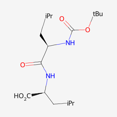 CC(C)C[C@H](NC(=O)[C@@H](CC(C)C)NC(=O)OC(C)(C)C)C(=O)O